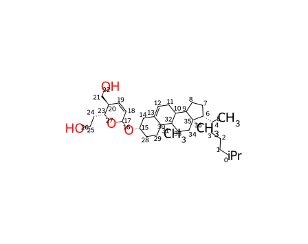 CC(C)CCCC(C)[C@H]1CCC2C3CC=C4C[C@@H](OC5C=C[C@H](CO)[C@@H](CCO)O5)CC[C@]4(C)C3CC[C@@]21C